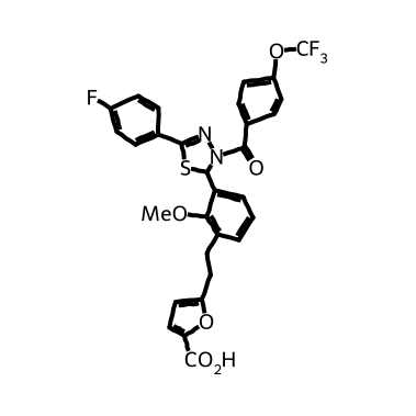 COc1c(CCc2ccc(C(=O)O)o2)cccc1C1SC(c2ccc(F)cc2)=NN1C(=O)c1ccc(OC(F)(F)F)cc1